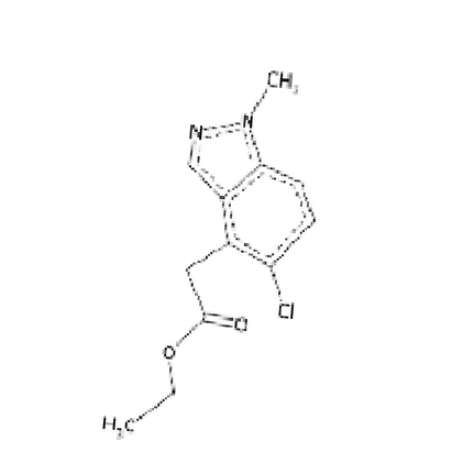 CCOC(=O)Cc1c(Cl)ccc2c1cnn2C